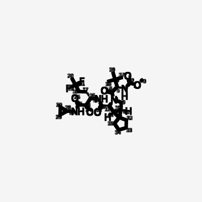 COC(=O)N[C@H](C(=O)N1C[C@H]2[C@@H]([C@H]1C(=O)N[C@@H](CCC(C)(F)F)C(=O)C(=O)NC1CC1)C21CCCC1)C(C)(C)C